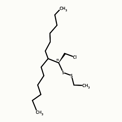 CCCCCCC(CCCCCC)[C@@H](CCl)SSCC